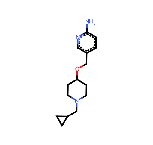 Nc1ccc(COC2CCN(CC3CC3)CC2)cn1